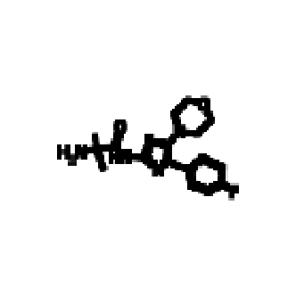 CC(C)(N)C(=O)Nc1nc(-c2ccc(F)cc2)c(N2CCOCC2)s1